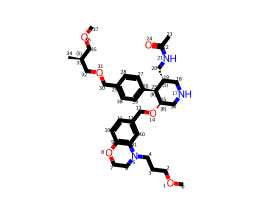 COCCCN1CCOc2ccc(CO[C@H]3CNC[C@@H](CNC(C)=O)[C@@H]3c3ccc(COC[C@@H](C)COC)cc3)cc21